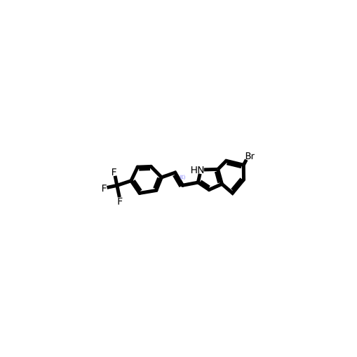 FC(F)(F)c1ccc(/C=C/c2cc3ccc(Br)cc3[nH]2)cc1